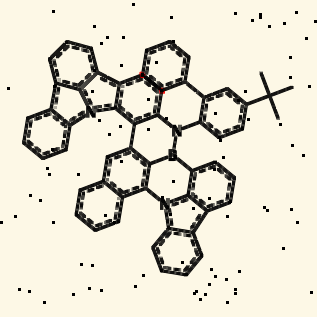 CC(C)(C)c1ccc(N2B3c4c(cc5ccccc5c4-n4c5ccccc5c5cccc3c54)-c3c2ccc2c4cccc5c6ccccc6n(c32)c54)c(-c2ccccc2)c1